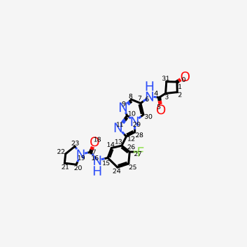 O=C1CC(C(=O)Nc2cnc3nc(-c4cc(NC(=O)N5CCCC5)ccc4F)cn3c2)C1